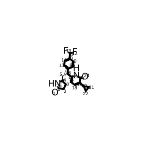 O=C1CC[C@H](C[C@H](c2ccc(C(F)F)cc2)c2ccc(C3CC3)c(=O)[nH]2)N1